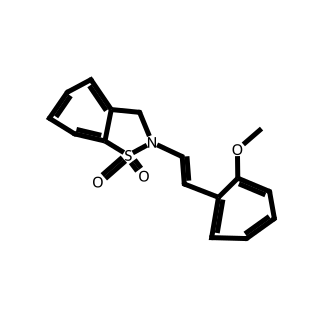 COc1ccccc1C=CN1Cc2ccccc2S1(=O)=O